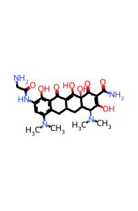 CN(C)c1cc(NC(=O)CN)c(O)c2c1CC1CC3[C@H](N(C)C)C(O)=C(C(N)=O)C(=O)[C@@]3(O)C(O)=C1C2=O